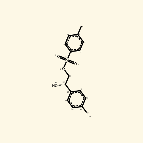 Cc1ccc(S(=O)(=O)OC[C@@H](O)c2ccc(F)cc2)cc1